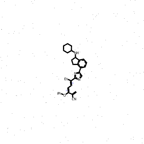 C=C(C#N)/C(=C\C=C(/CC)c1ncc(-c2cccc3c2CCC3NC2CCCCC2)s1)OC(C)C